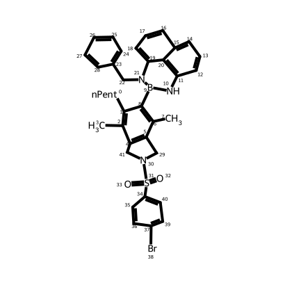 CCCCCc1c(C)c2c(c(C)c1B1Nc3cccc4cccc(c34)N1Cc1ccccc1)CN(S(=O)(=O)c1ccc(Br)cc1)C2